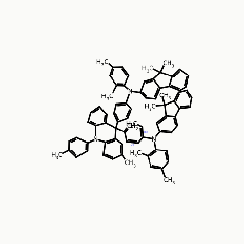 C=C(/C=C\C(=C/C)N(c1ccc2c(c1)C(C)(C)c1ccccc1-2)c1ccc(C)cc1C)C1(c2ccc(N(c3ccc4c(c3)C(C)(C)c3ccccc3-4)c3ccc(C)cc3C)cc2)c2ccccc2N(c2ccc(C)cc2)c2ccc(C)cc21